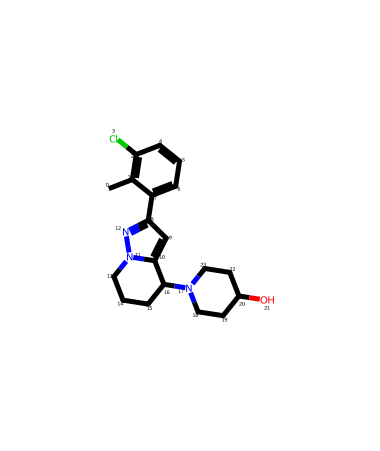 Cc1c(Cl)cccc1-c1cc2n(n1)CCCC2N1CCC(O)CC1